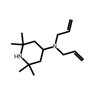 C=CCN(CC=C)C1CC(C)(C)NC(C)(C)C1